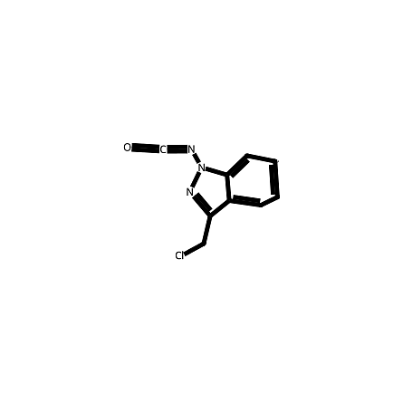 O=C=Nn1nc(CCl)c2cc[c]cc21